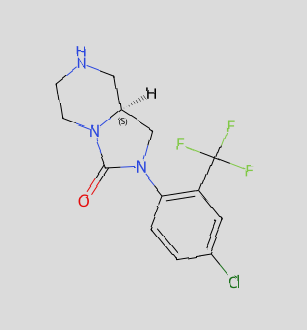 O=C1N(c2ccc(Cl)cc2C(F)(F)F)C[C@@H]2CNCCN12